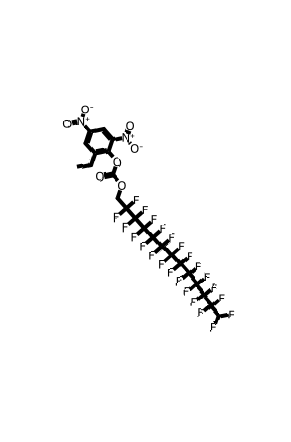 CCc1cc([N+](=O)[O-])cc([N+](=O)[O-])c1OC(=O)OCC(F)(F)C(F)(F)C(F)(F)C(F)(F)C(F)(F)C(F)(F)C(F)(F)C(F)(F)C(F)(F)C(F)(F)C(F)(F)C(F)F